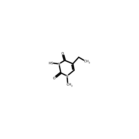 CCc1cn(C)c(=O)n(S)c1=O